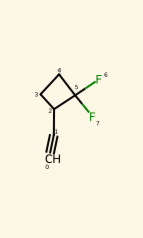 C#CC1CCC1(F)F